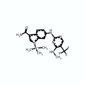 CNc1nc(Nc2ccc3c(C(N)=O)cn([N+](C)(C)C)c3c2)ncc1C(F)(F)F